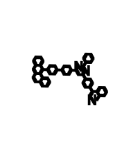 c1ccc(-c2nc(-c3ccc(-c4ccc(-c5c6ccccc6cc6ccc7ccccc7c56)cc4)cc3)cc(-c3ccc(-c4cncc5ccccc45)cc3)n2)cc1